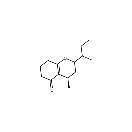 CCC(C)C1C[C@@H](C)C2=C(CCCC2=O)O1